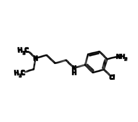 CCN(C)CCCNc1ccc(N)c(Cl)c1